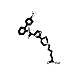 COC(=O)CCCCCN1CCC(c2nc(C(=O)Nc3ccccc3-c3ccc(OC(F)(F)F)cc3)cs2)CC1